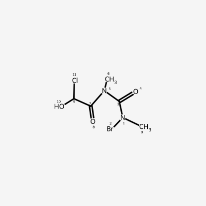 CN(Br)C(=O)N(C)C(=O)C(O)Cl